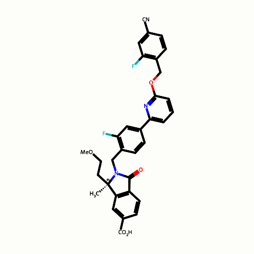 COCC[C@]1(C)c2cc(C(=O)O)ccc2C(=O)N1Cc1ccc(-c2cccc(OCc3ccc(C#N)cc3F)n2)cc1F